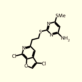 CSc1cc(N)nc(SCCc2cc3c(Cl)coc3c(Cl)n2)n1